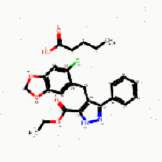 CCCCC(=O)O.CCOC(=O)c1[nH]nc(-c2ccccc2)c1Cc1cc2c(cc1Cl)OCO2